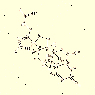 CC(=O)OCC(=O)[C@@]1(OC(C)=O)CC[C@H]2[C@@H]3C[C@H](Cl)C4=CC(=O)C=C[C@]4(C)[C@@]34O[C@H]4C[C@@]21C